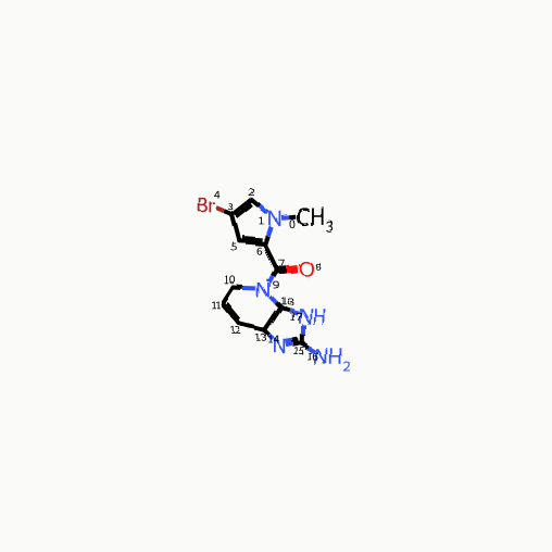 Cn1cc(Br)cc1C(=O)N1CC=CC2N=C(N)NC21